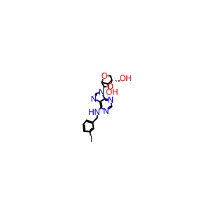 OC[C@@]12COC(C1O)[C@H](n1cnc3c(NCc4cccc(I)c4)ncnc31)O2